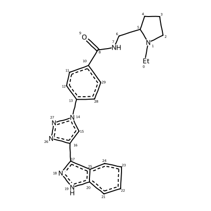 CCN1CCCC1CNC(=O)c1ccc(-n2cc(-c3n[nH]c4ccccc34)nn2)cc1